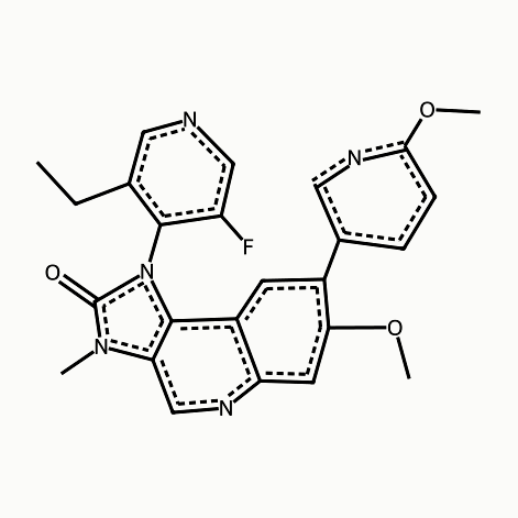 CCc1cncc(F)c1-n1c(=O)n(C)c2cnc3cc(OC)c(-c4ccc(OC)nc4)cc3c21